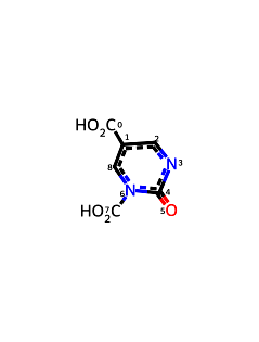 O=C(O)c1cnc(=O)n(C(=O)O)c1